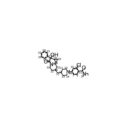 CN(C)C(=O)c1ccc(N2CCC(CC3CCN(C(=O)C(O)(c4ccccc4)C4CC4)CC3)CC2)cc1Cl